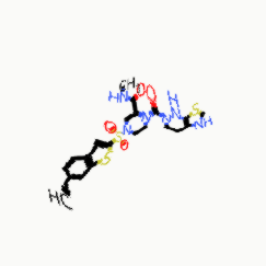 C#Cc1ccc2cc(S(=O)(=O)N3CCN(C(=O)N4CCC5=C(N4)SCN5)C(C(=O)NC)C3)sc2c1